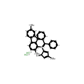 CCC1C=C(C(C)(C)C)C=[C]1[Zr](=[C](c1ccccc1)c1ccccc1)[c]1c(C(C)(C)C)ccc2c1Cc1cc(C(C)(C)C)ccc1-2.Cl.Cl